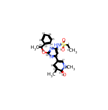 CCS(=O)(=O)Nc1cc(-c2cc(C)c(=O)n(C)c2)nc(OC(C)c2ccccc2)n1